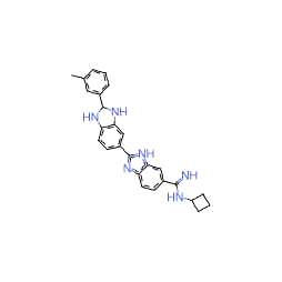 Cc1cccc(C2Nc3ccc(-c4nc5ccc(C(=N)NC6CCC6)cc5[nH]4)cc3N2)c1